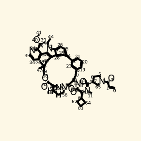 C=CC(=O)N1CC[C@H](C(=O)N(C)[C@H](C(=O)N[C@H]2Cc3cccc(c3)-c3ccc4c(c3)c(c(-c3cccnc3[C@H](C)OC)n4CC)CC(C)(C)COC(=O)[C@@H]3CCCN(N3)C2=O)C2CCC2)C1